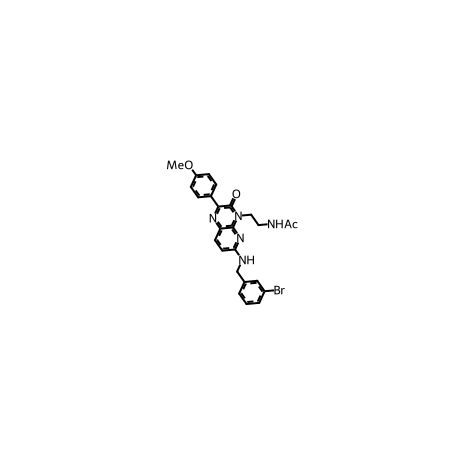 COc1ccc(-c2nc3ccc(NCc4cccc(Br)c4)nc3n(CCNC(C)=O)c2=O)cc1